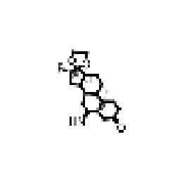 C[C@]12CCC(=O)CC1C(=N)CC1C2CC[C@@]2(C)C1C[C@@H](F)C21OCCO1